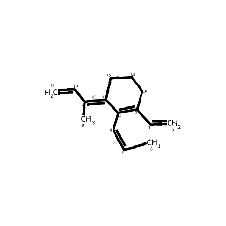 C=CC1=C(/C=C\C)/C(=C(\C)C=C)CCC1